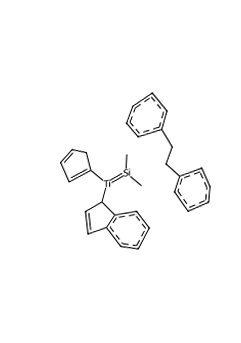 C[Si](C)=[Ti]([C]1=CC=CC1)[CH]1C=Cc2ccccc21.c1ccc(CCc2ccccc2)cc1